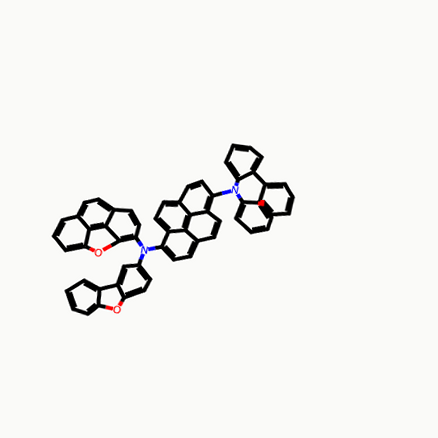 c1ccc(-c2ccccc2N(c2ccccc2)c2ccc3ccc4c(N(c5ccc6oc7ccccc7c6c5)c5ccc6ccc7cccc8oc5c6c78)ccc5ccc2c3c54)cc1